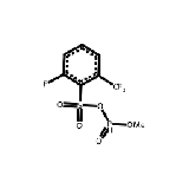 CO[PH](=O)OS(=O)(=O)c1c(F)cccc1C(F)(F)F